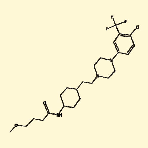 COCCCC(=O)NC1CCC(CCN2CCN(c3ccc(Cl)c(C(F)(F)F)c3)CC2)CC1